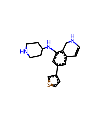 C1=Cc2cc(-c3ccsc3)cc(NC3CCNCC3)c2CN1